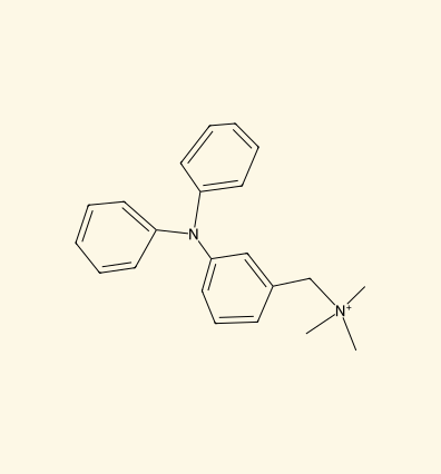 C[N+](C)(C)Cc1cccc(N(c2ccccc2)c2ccccc2)c1